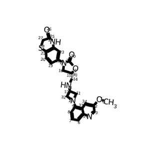 COc1cnc2cccc(N3CC(NC[C@@H]4CN(c5ccc6c(c5)NC(=O)CS6)C(=O)O4)C3)c2c1